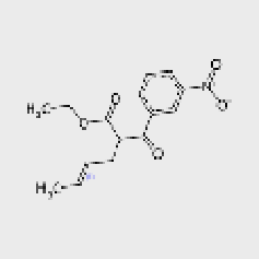 C/C=C/CC(C(=O)OCC)C(=O)c1cccc([N+](=O)[O-])c1